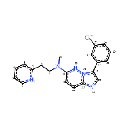 CN(CCc1ccccn1)c1ccc2ncc(-c3cccc(Cl)c3)n2n1